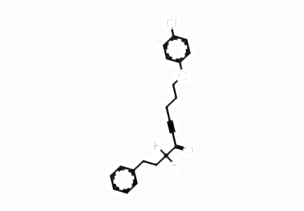 O=C(C#CCCCOc1ccc(Cl)cc1)C(F)(F)CCc1ccccc1